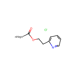 CCCCCCCC(=O)OCCC1=CC=CC=[N+]1.[Cl-]